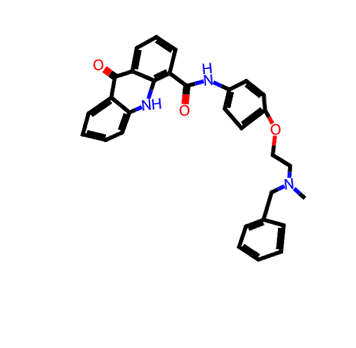 CN(CCOc1ccc(NC(=O)c2cccc3c(=O)c4ccccc4[nH]c23)cc1)Cc1ccccc1